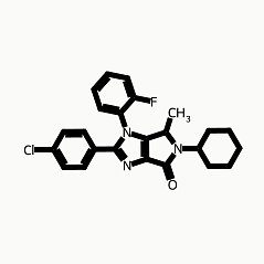 CC1c2c(nc(-c3ccc(Cl)cc3)n2-c2ccccc2F)C(=O)N1C1CCCCC1